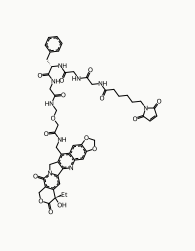 CC[C@@]1(O)C(=O)OCc2c1cc1n(c2=O)Cc2c-1nc1cc3c(cc1c2CNC(=O)COCNC(=O)CNC(=O)[C@H](Cc1ccccc1)NC(=O)CNC(=O)CNC(=O)CCCCCN1C(=O)C=CC1=O)OCO3